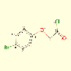 O=C(Cl)COc1ccc(Br)cc1